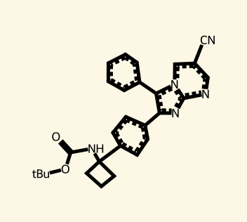 CC(C)(C)OC(=O)NC1(c2ccc(-c3nc4ncc(C#N)cn4c3-c3ccccc3)cc2)CCC1